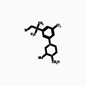 CC(C)(C)C1CN(c2cc(C(F)(F)F)cc([Si](C)(C)CBr)c2)CCN1C(=O)O